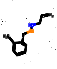 C=CCNPCc1ccccc1C